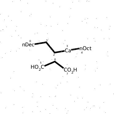 CCCCCCCCCCC[CH2][Ca][CH2]CCCCCCC.O=C(O)CC(=O)O